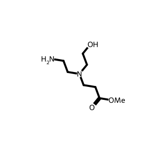 COC(=O)CCN(CCN)CCO